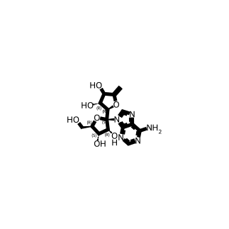 C=C1O[C@@H]([C@@]2(n3cnc4c(N)ncnc43)O[C@H](CO)[C@@H](O)[C@H]2O)[C@H](O)C1O